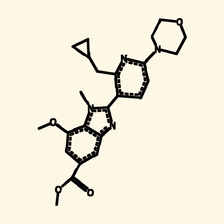 COC(=O)c1cc(OC)c2c(c1)nc(-c1ccc(N3CCOCC3)nc1CC1CC1)n2C